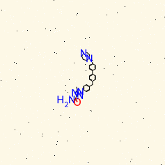 Cc1nc(C(N)=O)nn1-c1ccc(Cc2ccc(-c3ccc(CN4CCCN(C)CC4)cc3)cc2)cc1